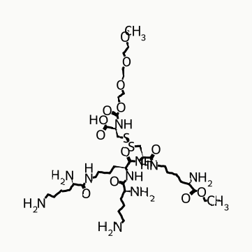 CCOC(=O)[C@@H](N)CCCCNC(=O)[C@H](CSSC[C@H](NC(=O)OCCOCCOCCOC)C(=O)O)NC(=O)[C@H](CCCCNC(=O)[C@@H](N)CCCCN)NC(=O)[C@@H](N)CCCCN